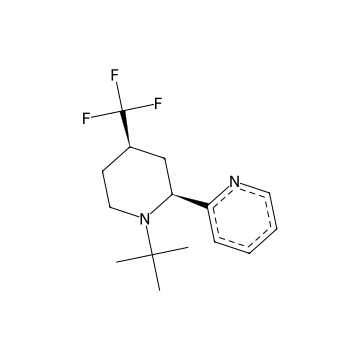 CC(C)(C)N1CC[C@@H](C(F)(F)F)C[C@H]1c1ccccn1